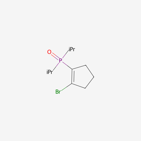 CC(C)P(=O)(C1=C(Br)CCC1)C(C)C